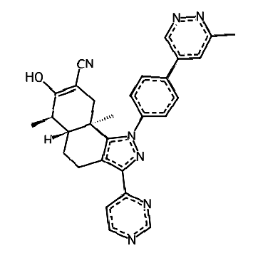 Cc1cc(-c2ccc(-n3nc(-c4ccncn4)c4c3[C@]3(C)CC(C#N)=C(O)[C@H](C)[C@H]3CC4)cc2)cnn1